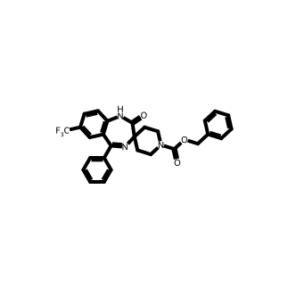 O=C(OCc1ccccc1)N1CCC2(CC1)N=C(c1ccccc1)c1cc(C(F)(F)F)ccc1NC2=O